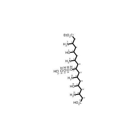 CCOC(=O)CC(N)CC(O)CC(N)CC(O)CC(N)CC(O)CC(N)CC(=O)O.Cl.Cl.Cl.Cl